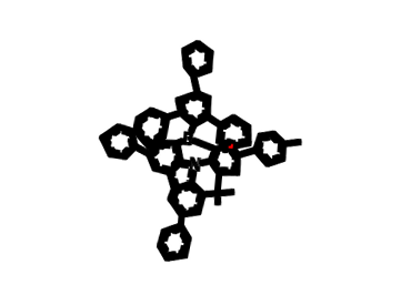 Cc1ccc(-c2cc3c4c(c2)C(C)(C)c2cc(-c5ccccc5)cc5c6cc(-c7ccccc7)cc(c6n-4c25)B3c2c(-c3ccccc3)cc(-c3ccccc3)cc2-c2ccccc2)cc1